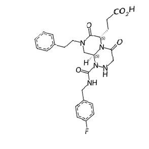 O=C(O)CC[C@H]1C(=O)N(CCc2ccccc2)C[C@@H]2N(C(=O)NCc3ccc(F)cc3)NCC(=O)N21